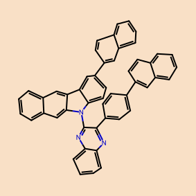 c1ccc2cc(-c3ccc(-c4nc5ccccc5nc4-n4c5ccc(-c6ccc7ccccc7c6)cc5c5cc6ccccc6cc54)cc3)ccc2c1